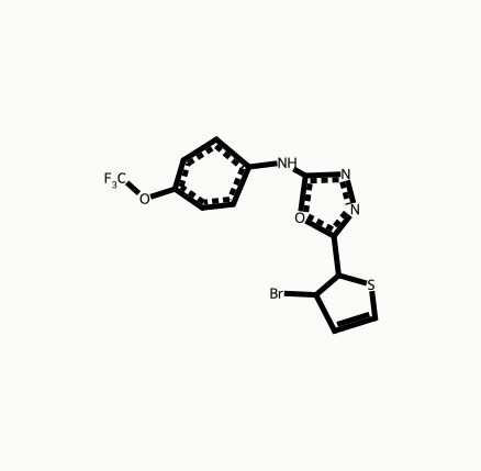 FC(F)(F)Oc1ccc(Nc2nnc(C3SC=CC3Br)o2)cc1